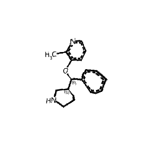 Cc1ncccc1O[C@@H](c1ccccc1)[C@H]1CCNC1